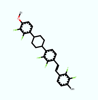 CCCc1ccc(/C=C/c2ccc(C3CCC(c4ccc(OCC)c(F)c4F)CC3)c(F)c2F)c(F)c1F